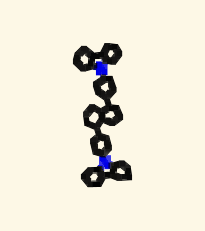 C1=Cc2c(-c3ccc(-n4c5ccccc5c5ccccc54)cc3)cccc2C(c2ccc(-n3c4ccccc4c4ccccc43)cc2)C1